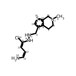 CN1CCc2c(CNN/C(Cl)=C\C=C/N)csc2C1